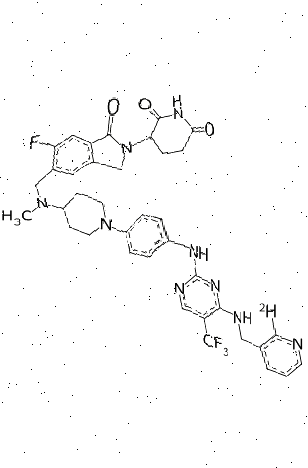 [2H]c1ncccc1CNc1nc(Nc2ccc(N3CCC(N(C)Cc4cc5c(cc4F)C(=O)N(C4CCC(=O)NC4=O)C5)CC3)cc2)ncc1C(F)(F)F